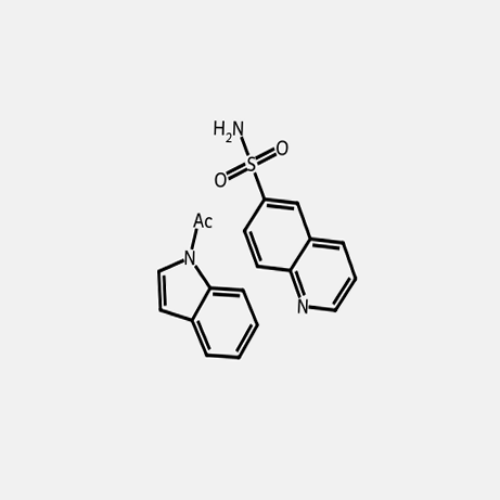 CC(=O)n1ccc2ccccc21.NS(=O)(=O)c1ccc2ncccc2c1